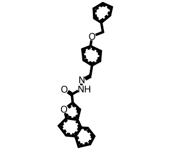 O=C(N/N=C/c1ccc(OCc2ccccc2)cc1)c1cc2c(ccc3ccccc32)o1